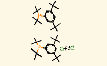 CC(C)(C)c1cc(P(C(C)(C)C)C(C)(C)C)cc(C(C)(C)C)c1.CC(C)(C)c1cc(P(C(C)(C)C)C(C)(C)C)cc(C(C)(C)C)c1.[Cl][Pd][Cl]